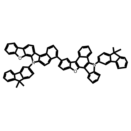 CC1(C)c2ccccc2-c2cc(-n3c4ccc5c(-c6ccc7oc8c(c7c6)c6ccccc6c6c8c7ccccc7n6-c6ccc7c(c6)-c6ccccc6C7(C)C)cccc5c4c4ccc5c6ccccc6oc5c43)ccc21